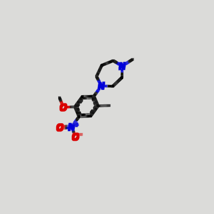 COc1cc(N2CCCN(C)CC2)c(C)cc1[N+](=O)[O-]